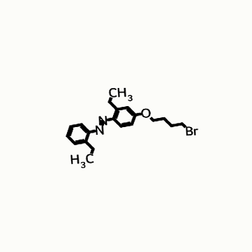 CCc1ccccc1/N=N/c1ccc(OCCCCBr)cc1CC